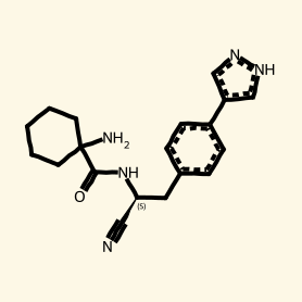 N#C[C@H](Cc1ccc(-c2cn[nH]c2)cc1)NC(=O)C1(N)CCCCC1